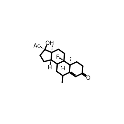 CC(=O)[C@@]1(O)CC[C@H]2[C@@H]3CC(C)C4=CC(=O)CC[C@]4(C)[C@@]3(F)CC[C@@]21C